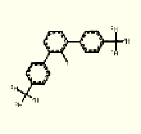 [2H]C([2H])([2H])c1ccc(-c2cccc(-c3ccc(C([2H])([2H])[2H])cc3)c2I)cc1